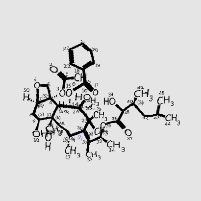 CC(=O)O[C@@]12CO[C@@H]1C[C@H](O)[C@]1(C)[C@@H]2[C@H](OC(=O)c2ccccc2)[C@@](C)(O)C(C)(C)/C(=C(/C)[C@H](C)OC(=O)C(O)[C@@H](C)CC(C)C)[C@H](C)[C@@H]1O